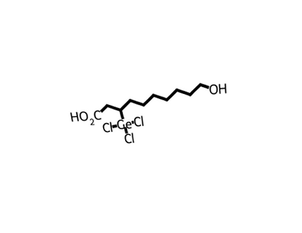 O=C(O)C[CH](CCCCCCCO)[Ge]([Cl])([Cl])[Cl]